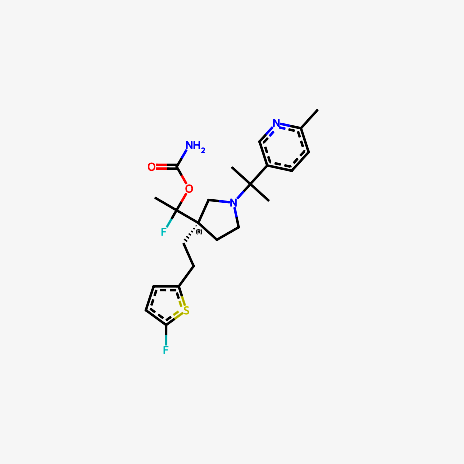 Cc1ccc(C(C)(C)N2CC[C@@](CCc3ccc(F)s3)(C(C)(F)OC(N)=O)C2)cn1